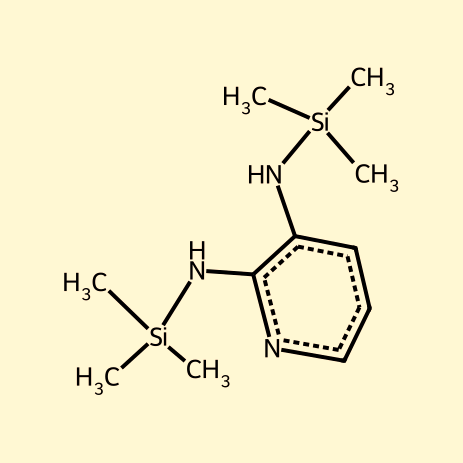 C[Si](C)(C)Nc1cccnc1N[Si](C)(C)C